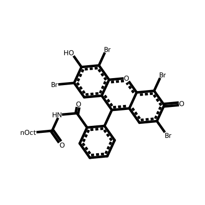 CCCCCCCCC(=O)NC(=O)c1ccccc1-c1c2cc(Br)c(=O)c(Br)c-2oc2c(Br)c(O)c(Br)cc12